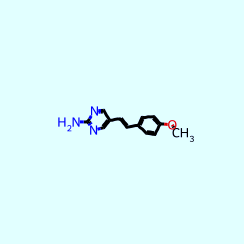 COc1ccc(/C=C/c2cnc(N)nc2)cc1